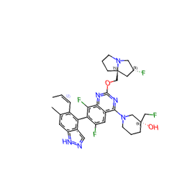 C/C=C\c1c(C)cc2[nH]ncc2c1-c1c(F)cc2c(N3CCC[C@](O)(CF)C3)nc(OC[C@@]34CCCN3C[C@H](F)C4)nc2c1F